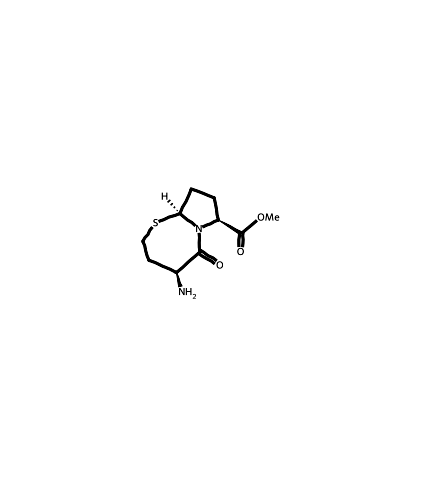 COC(=O)[C@@H]1CC[C@@H]2SCC[C@H](N)C(=O)N21